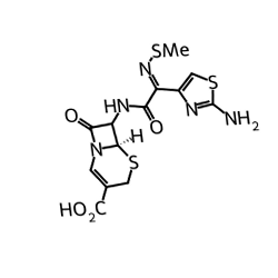 CSN=C(C(=O)NC1C(=O)N2C=C(C(=O)O)CS[C@H]12)c1csc(N)n1